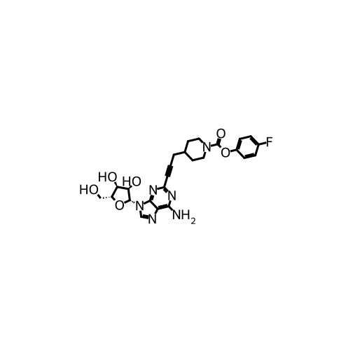 Nc1nc(C#CCC2CCN(C(=O)Oc3ccc(F)cc3)CC2)nc2c1ncn2[C@@H]1O[C@H](CO)[C@@H](O)[C@H]1O